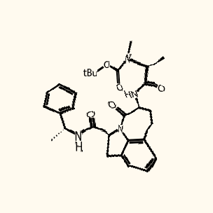 C[C@@H](NC(=O)[C@@H]1Cc2cccc3c2N1C(=O)[C@@H](NC(=O)[C@H](C)N(C)C(=O)OC(C)(C)C)CC3)c1ccccc1